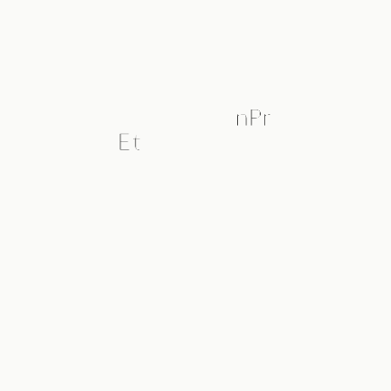 [CH2]CCC(CC)C(C)(C)C